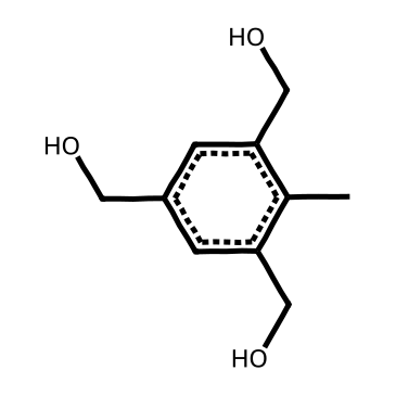 Cc1c(CO)cc(CO)cc1CO